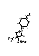 CCC1CCC(N2CC(OC)(C(F)(F)F)C2)CC1